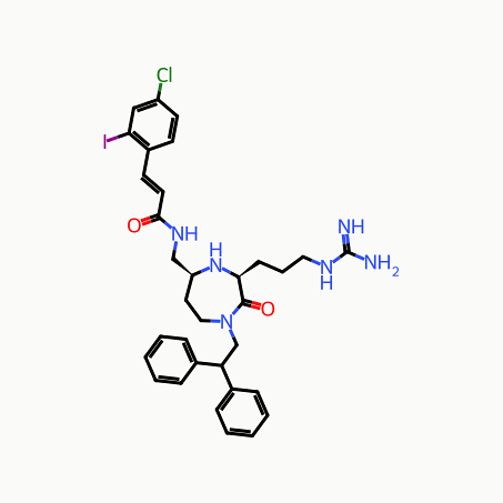 N=C(N)NCCC[C@@H]1N[C@H](CNC(=O)/C=C/c2ccc(Cl)cc2I)CCN(CC(c2ccccc2)c2ccccc2)C1=O